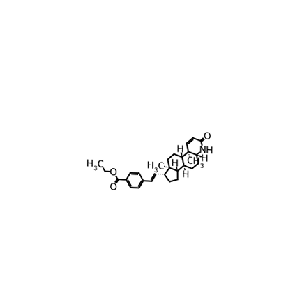 CCOC(=O)c1ccc(/C=C/[C@H]2CC[C@H]3[C@@H]4CC[C@H]5NC(=O)C=C[C@]5(C)[C@H]4CC[C@]23C)cc1